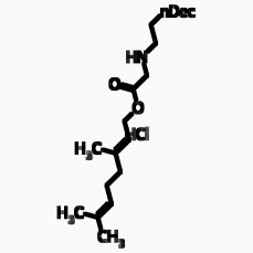 CCCCCCCCCCCCNCC(=O)OC/C=C(\C)CCC=C(C)C.Cl